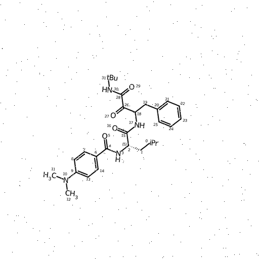 CC(C)C[C@H](NC(=O)c1ccc(N(C)C)cc1)C(=O)NC(Cc1ccccc1)C(=O)C(=O)NC(C)(C)C